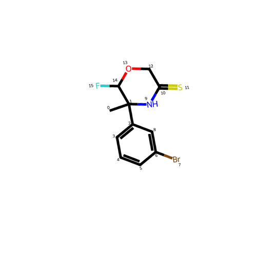 CC1(c2cccc(Br)c2)NC(=S)COC1F